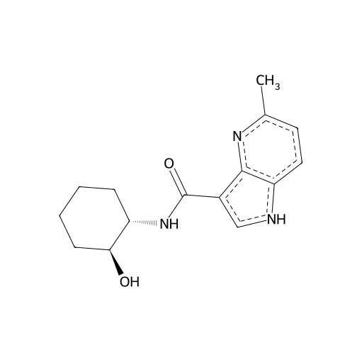 Cc1ccc2[nH]cc(C(=O)N[C@H]3CCCC[C@@H]3O)c2n1